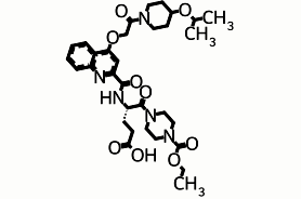 CCOC(=O)N1CCN(C(=O)[C@H](CCC(=O)O)NC(=O)c2cc(OCC(=O)N3CCC(OC(C)C)CC3)c3ccccc3n2)CC1